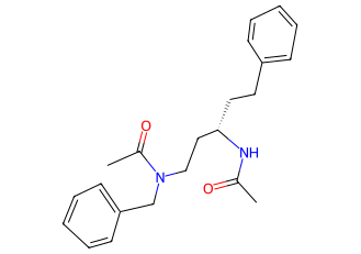 CC(=O)N[C@@H](CCc1ccccc1)CCN(Cc1ccccc1)C(C)=O